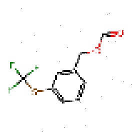 O=[C]OCc1cccc(SC(F)(F)F)c1